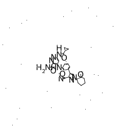 COc1c(Nc2cc(NC(=O)C3CC3)nnc2C(N)=O)cccc1-c1cn([C@H]2CCCC[C@@H]2OC)nc1C#N